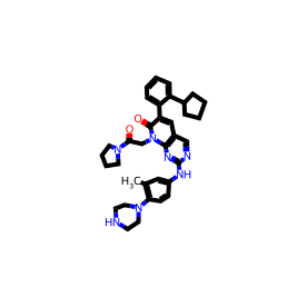 Cc1cc(Nc2ncc3cc(-c4ccccc4C4CCCC4)c(=O)n(CC(=O)N4CCCC4)c3n2)ccc1N1CCNCC1